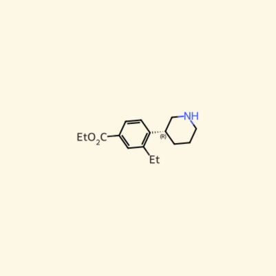 CCOC(=O)c1ccc([C@H]2CCCNC2)c(CC)c1